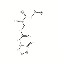 C=C(COC(C)C)C(=O)OCC(=O)OC1CCOC1=O